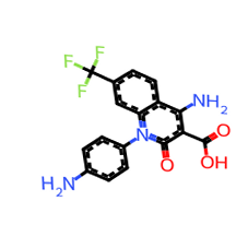 Nc1ccc(-n2c(=O)c(C(=O)O)c(N)c3ccc(C(F)(F)F)cc32)cc1